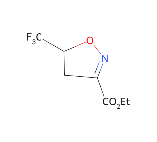 CCOC(=O)C1=NOC(C(F)(F)F)C1